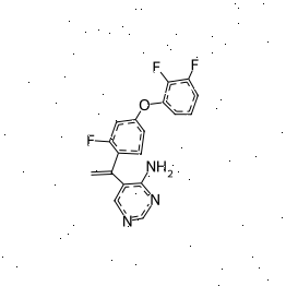 C=C(c1ccc(Oc2cccc(F)c2F)cc1F)c1cncnc1N